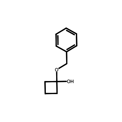 OC1(OCc2ccccc2)CCC1